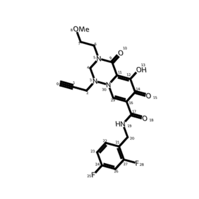 C#CCN1CN(CCOC)C(=O)c2c(O)c(=O)c(C(=O)NCc3ccc(F)cc3F)cn21